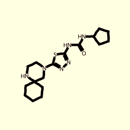 O=C(Nc1nnc(N2CCNC3(CCCCC3)C2)s1)NC1CCCC1